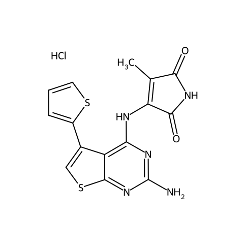 CC1=C(Nc2nc(N)nc3scc(-c4cccs4)c23)C(=O)NC1=O.Cl